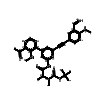 CNc1ncc(C#Cc2cc(-c3ncnc(C(C)=N)c3NC)cc(NC(=O)C(C)N(C)C(=O)OC(C)(C)C)n2)cc1C=N